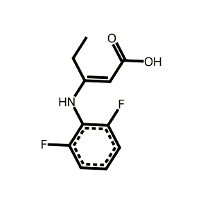 CCC(=CC(=O)O)Nc1c(F)cccc1F